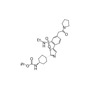 CCNS(=O)(=O)c1cc(CC(=O)N2CCCC2)ccc1-c1cnc([C@H]2CC[C@H](NC(=O)OC(C)C)CC2)s1